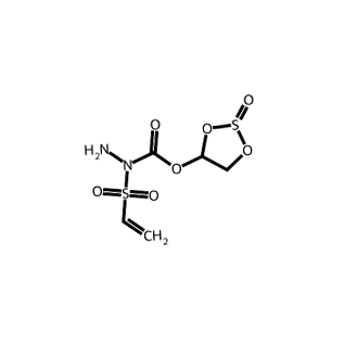 C=CS(=O)(=O)N(N)C(=O)OC1COS(=O)O1